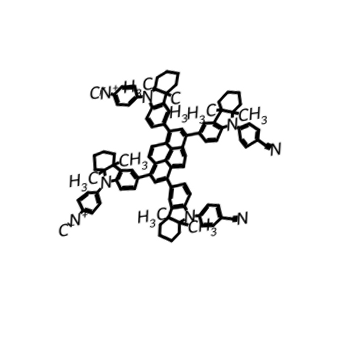 [C-]#[N+]c1ccc(N2c3ccc(-c4cc(-c5ccc6c(c5)C5(C)CCCCC5(C)N6c5ccc(C#N)cc5)c5ccc6c(-c7ccc8c(c7)C7(C)CCCCC7(C)N8c7ccc(C#N)cc7)cc(-c7ccc8c(c7)C7(C)CCCCC7(C)N8c7ccc([N+]#[C-])cc7)c7ccc4c5c67)cc3C3(C)CCCCC23C)cc1